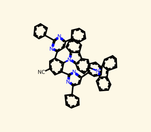 N#Cc1cc(-c2cc(-c3ccccc3)nc(-c3ccccc3)n2)c(-n2c3ccccc3c3cc(-n4c5ccccc5c5ccccc54)ccc32)c(-c2nc(-c3ccccc3)cc(-c3ccccc3)n2)c1